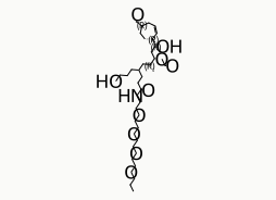 CCCOCCOCCOCCOCCNC(=O)CCC(CCCO)C[C@@H](C)C(C[C@@H](O)[C@H]1C=CC[C@H](C=O)CC1)OC=O